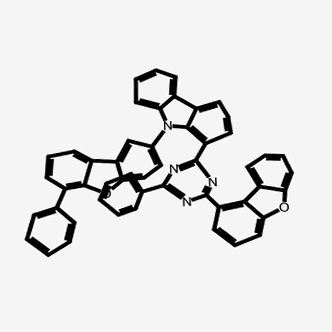 c1ccc(-c2nc(-c3cccc4oc5ccccc5c34)nc(-c3cccc4c5ccccc5n(-c5ccc6oc7c(-c8ccccc8)cccc7c6c5)c34)n2)cc1